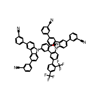 N#Cc1cccc(-c2ccc3c(c2)c2cc(-c4cccc(C#N)c4)ccc2n3-c2ccc(C#N)c(-c3cc(-c4ccc(C(F)(F)F)cc4C(F)(F)F)ccc3-n3c4ccc(-c5cccc(C#N)c5)cc4c4cc(-c5cccc(C#N)c5)ccc43)c2)c1